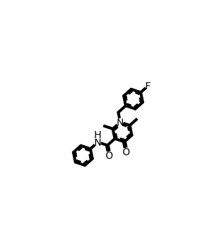 Cc1cc(=O)c(C(=O)Nc2ccccc2)c(C)n1Cc1ccc(F)cc1